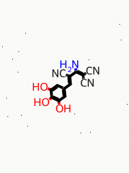 N#CC(C#N)=C(N)/C(C#N)=C/c1cc(O)c(O)c(O)c1